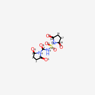 O=C1CCC(=O)N1C(=O)NS(=O)(=O)N1C(=O)CCC1=O